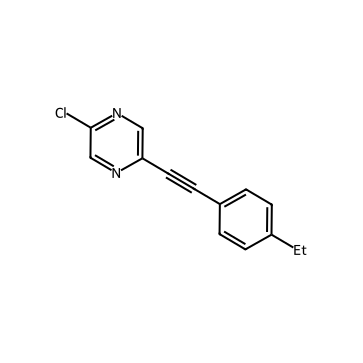 CCc1ccc(C#Cc2cnc(Cl)cn2)cc1